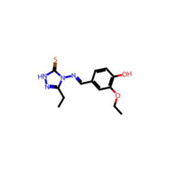 CCOc1cc(C=Nn2c(CC)n[nH]c2=S)ccc1O